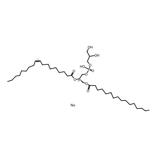 CCCCCCCC/C=C\CCCCCCCC(=O)O[C@H](COC(=O)CCCCCCCCCCCCCCC)COP(=O)(O)OCC(O)CO.[Na]